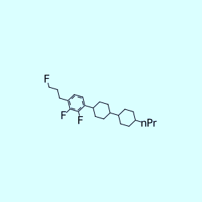 CCCC1CCC(C2CCC(c3ccc(CCCF)c(F)c3F)CC2)CC1